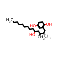 CCCCCCCCCC(O)CC(C)C(C)Cc1cc(O)ccc1O